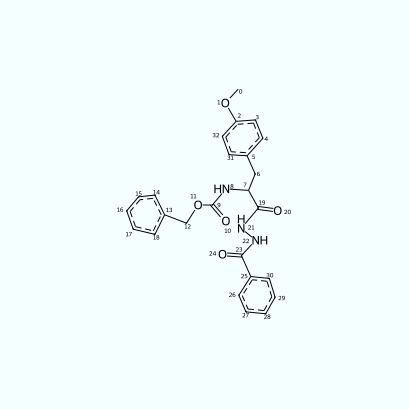 COc1ccc(CC(NC(=O)OCc2ccccc2)C(=O)NNC(=O)c2ccccc2)cc1